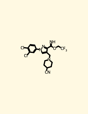 N#CC1CCN(Cc2cn(-c3ccc(Cl)c(Cl)c3)nc2C(=N)OCC(F)(F)F)CC1